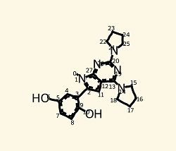 Cn1c(-c2cc(O)ccc2O)cc2c(N3CCCC3)nc(N3CCCC3)nc21